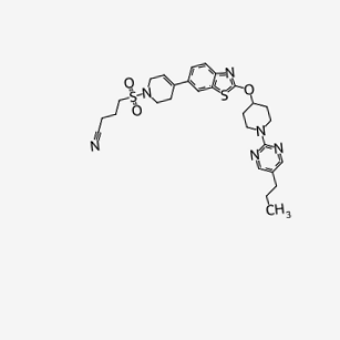 CCCc1cnc(N2CCC(Oc3nc4ccc(C5=CCN(S(=O)(=O)CCCC#N)CC5)cc4s3)CC2)nc1